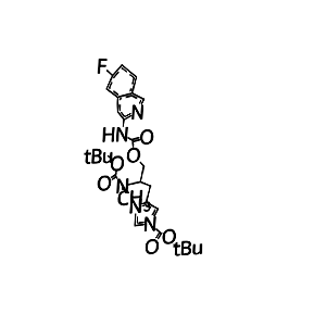 CN(C(=O)OC(C)(C)C)C(COC(=O)Nc1cc2cc(F)ccc2cn1)Cc1cn(C(=O)OC(C)(C)C)cn1